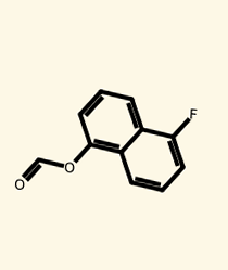 O=COc1cccc2c(F)cccc12